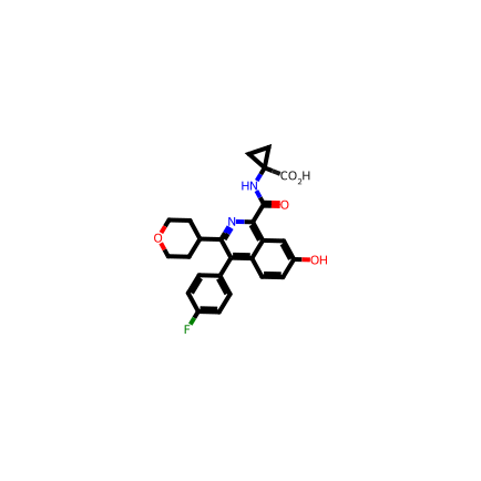 O=C(NC1(C(=O)O)CC1)c1nc(C2CCOCC2)c(-c2ccc(F)cc2)c2ccc(O)cc12